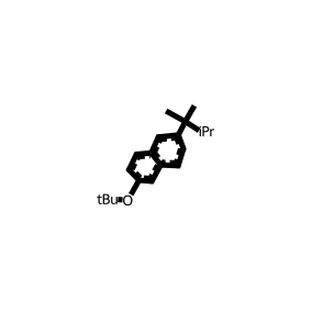 CC(C)C(C)(C)c1ccc2cc(OC(C)(C)C)ccc2c1